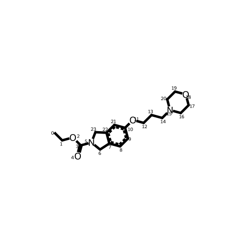 CCOC(=O)N1Cc2ccc(OCCCN3CCOCC3)cc2C1